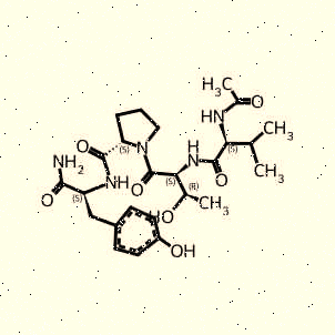 CC(=O)N[C@H](C(=O)N[C@H](C(=O)N1CCC[C@H]1C(=O)N[C@@H](Cc1ccc(O)cc1)C(N)=O)[C@@H](C)O)C(C)C